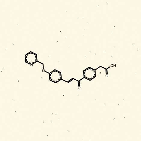 O=C(O)Cc1ccc(C(=O)C=Cc2ccc(OCc3ccccn3)cc2)cc1